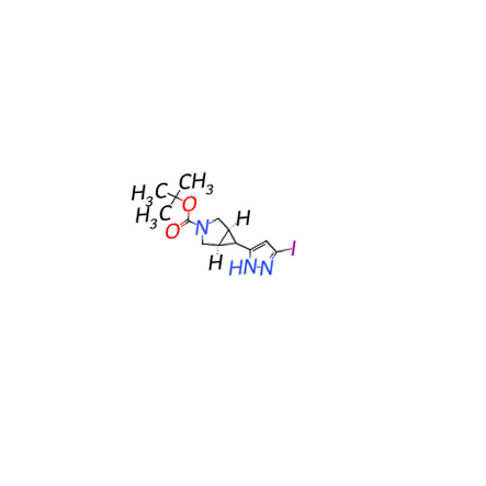 CC(C)(C)OC(=O)N1C[C@@H]2C(c3cc(I)n[nH]3)[C@@H]2C1